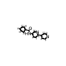 O=C(Nc1ccc(-c2ccncc2)nc1)c1ccccc1